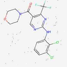 O=C(c1cnc(Nc2cccc(Cl)c2Cl)nc1C(F)(F)F)N1CCOCC1